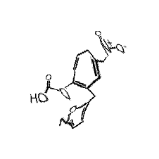 O=C(O)Oc1ccc([N+](=O)[O-])cc1Cc1ccno1